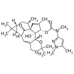 CC1=C[C@]23C(=O)[C@@H](C=C4COC(C)(C)O[C@H]4[C@]2(O)[C@H]1OC(=O)N(C)c1cc(C)n(C)n1)[C@H]1[C@@H](C[C@H]3C)C1(C)C